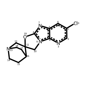 Clc1cnc2c(c1)nc1n2CC2(CN3CCC2CC3)O1